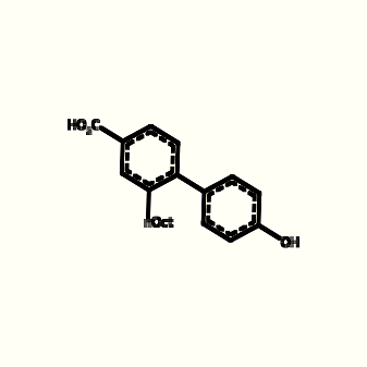 CCCCCCCCc1cc(C(=O)O)ccc1-c1ccc(O)cc1